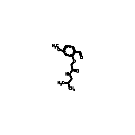 COc1ccc(C=O)c(OCC(=O)NCC(C)C)c1